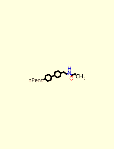 C=CC(=O)NCCC1CCC(C2CCC(CCCCC)CC2)CC1